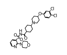 O=C(NS(=O)(=O)c1cccnc1N1CCOCC1)C1CCC(N2CCC(Oc3ccc(Cl)c(Cl)c3)CC2)CC1